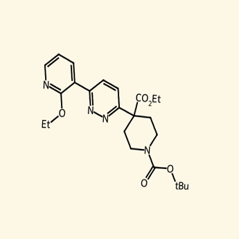 CCOC(=O)C1(c2ccc(-c3cccnc3OCC)nn2)CCN(C(=O)OC(C)(C)C)CC1